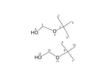 CC(C)(C)OCO.CC(C)(C)OCO